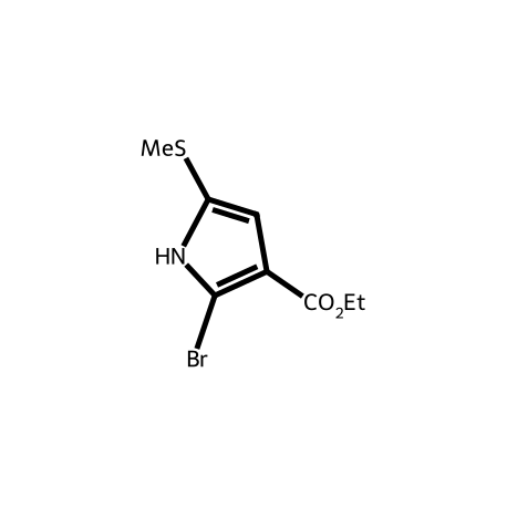 CCOC(=O)c1cc(SC)[nH]c1Br